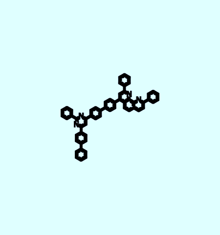 c1ccc(-c2ccc(-c3cc(-c4ccc(-c5ccc(-c6cc(-c7ccccc7)nc7c6ccc6ccc(-c8ccccc8)nc67)cc5)cc4)nc(-c4ccccc4)n3)cc2)cc1